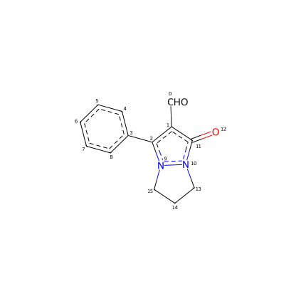 O=Cc1c(-c2ccccc2)n2n(c1=O)CCC2